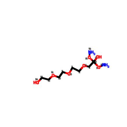 NOC(O)(COCCOCCOCCO)ON